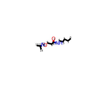 CCCCCNC(=O)CCON=C(C)C